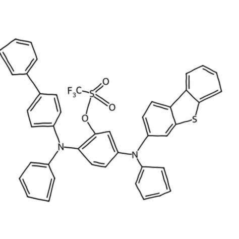 O=S(=O)(Oc1cc(N(c2ccccc2)c2ccc3c(c2)sc2ccccc23)ccc1N(c1ccccc1)c1ccc(-c2ccccc2)cc1)C(F)(F)F